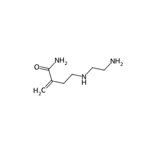 C=C(CCNCCN)C(N)=O